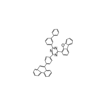 c1ccc(-c2cccc(-c3nc(-c4ccc(-c5cc6ccccc6c6ccccc56)cc4)nc(-c4cccc5c4oc4ccccc45)n3)c2)cc1